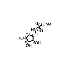 COS(=O)(=O)NC[C@H]1O[C@@H](O)[C@H](O)[C@@H]1O